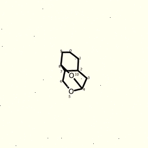 C1CC2CC3OCC2C(C1)O3